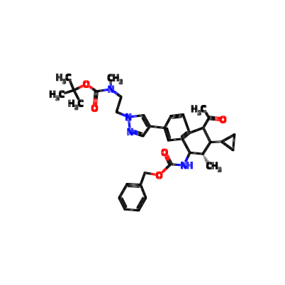 CC(=O)C1c2ccc(-c3cnn(CCN(C)C(=O)OC(C)(C)C)c3)cc2C(NC(=O)OCc2ccccc2)[C@@H](C)C1C1CC1